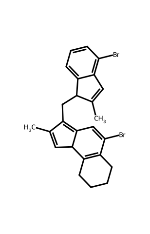 CC1=CC2C(=C1CC1C(C)=Cc3c(Br)cccc31)C=C(Br)C1=C2CCCC1